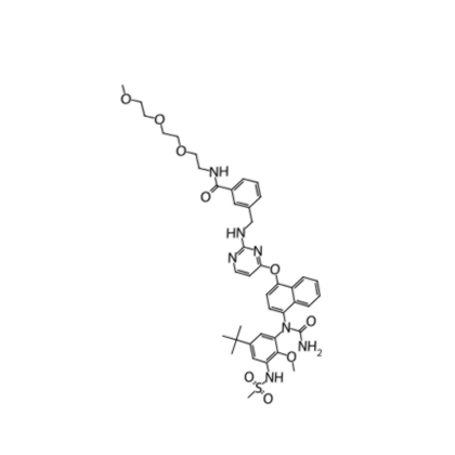 COCCOCCOCCNC(=O)c1cccc(CNc2nccc(Oc3ccc(N(C(N)=O)c4cc(C(C)(C)C)cc(NS(C)(=O)=O)c4OC)c4ccccc34)n2)c1